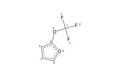 FC(F)(F)Oc1cc[c]o1